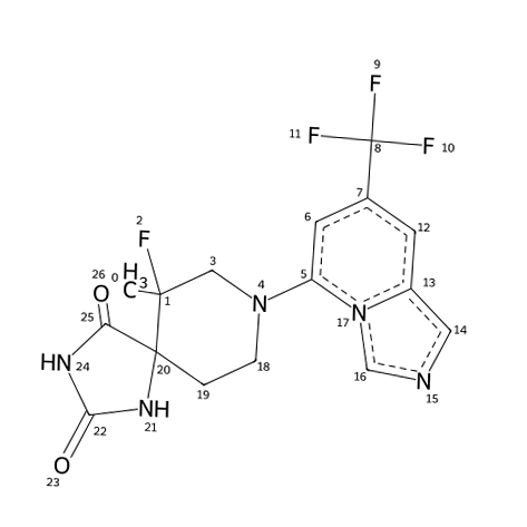 CC1(F)CN(c2cc(C(F)(F)F)cc3cncn23)CCC12NC(=O)NC2=O